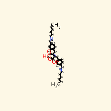 CCCCCCN=Cc1ccc(C/C(C(=O)O)=C(\Cc2ccc(C=NCCCCCC)cc2)C(=O)O)cc1